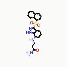 NC(=O)CCNc1cccc2c(S(=O)(=O)c3cccc4ccccc34)n[nH]c12